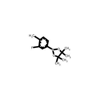 Cc1ccc(B2OC(C)(C)C(C)(C)O2)cc1F